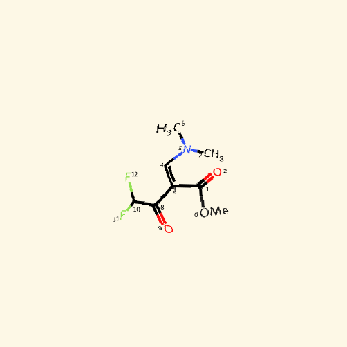 COC(=O)/C(=C\N(C)C)C(=O)C(F)F